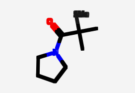 CSC(C)(C)C(=O)N1CCCC1